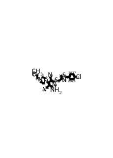 COCCN1CCN(c2c(C#N)c(N)nc(SCc3csc(-c4ccc(Cl)cc4)n3)c2C#N)CC1